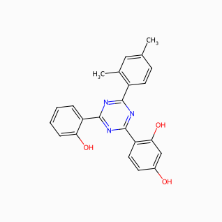 Cc1ccc(-c2nc(-c3ccccc3O)nc(-c3ccc(O)cc3O)n2)c(C)c1